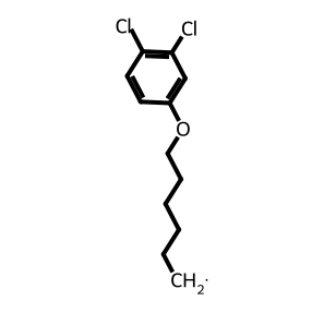 [CH2]CCCCCOc1ccc(Cl)c(Cl)c1